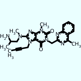 CC#CCn1c(N(C)CC(C)N)nc2c1c(=O)n(Cc1nc(C)c3ccccc3n1)c(=O)n2C